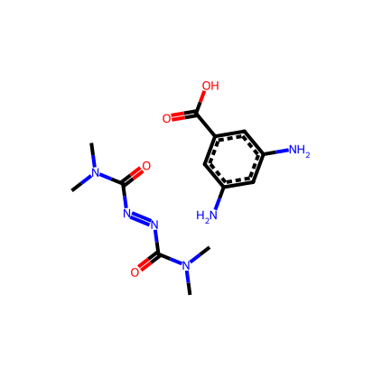 CN(C)C(=O)N=NC(=O)N(C)C.Nc1cc(N)cc(C(=O)O)c1